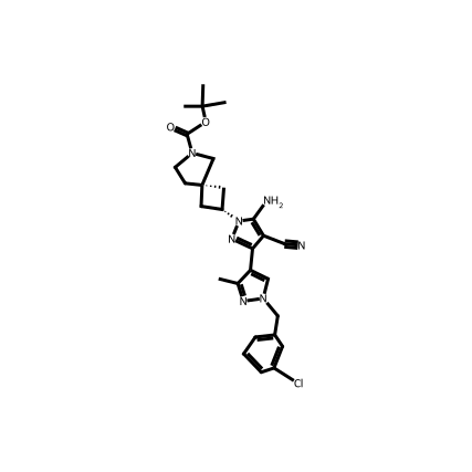 Cc1nn(Cc2cccc(Cl)c2)cc1-c1nn([C@H]2C[C@@]3(CCN(C(=O)OC(C)(C)C)C3)C2)c(N)c1C#N